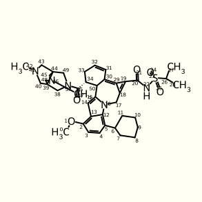 COc1ccc(C2CCCCC2)c2c1cc1n2CC2=C(C(=O)NS(=O)(=O)C(C)C)C2=C2C=CC[C@@H](C(=O)N3CC45CN(C)CC4(CN(C)C5)C3)C21